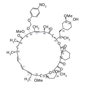 CO[C@H]1C[C@@H]2CC[C@@H](C)[C@@](O)(O2)C(=O)C(=O)N2CCCC[C@H]2C(=O)O[C@H]([C@H](C)C[C@@H]2CC[C@@H](O)[C@H](OC)C2)CC(=O)[C@H](C)/C=C(\C)[C@@H](OCOc2ccc([N+](=O)[O-])cc2)[C@@H](OC)C(=O)[C@H](C)C[C@H](C)/C=C/C=C/C=C/1C